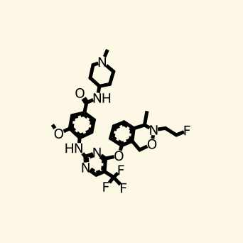 COc1cc(C(=O)NC2CCN(C)CC2)ccc1Nc1ncc(C(F)(F)F)c(Oc2cccc3c2CON(CCF)C3C)n1